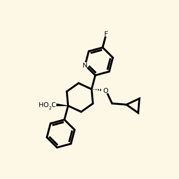 O=C(O)[C@]1(c2ccccc2)CC[C@](OCC2CC2)(c2ccc(F)cn2)CC1